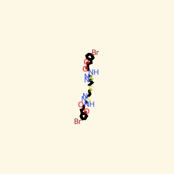 O=C(Nc1nnc(CCSCCc2nnc(NC3OC3C3Cc4cc(Br)ccc4O3)s2)s1)C1Cc2cc(Br)ccc2O1